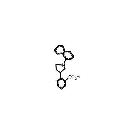 O=C(O)c1ccccc1C1CCN(c2cccc3ccccc23)C1